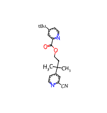 CC(C)(C)c1ccnc(C(=O)OCCC(C)(C)c2ccnc(C#N)c2)c1